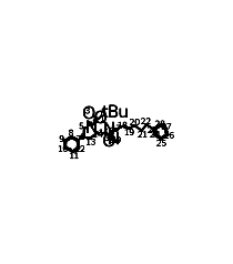 CC(C)(C)OC(=O)N1C[C@H](c2ccccc2)C[C@H]1c1nc(CCCCCc2ccccc2)no1